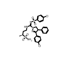 C[C@@H](CCNC(=NS(=O)(=O)c1ccc(Cl)cc1)N1CC(c2ccccc2)C(c2ccc(Cl)cc2)=N1)S(N)(=O)=O